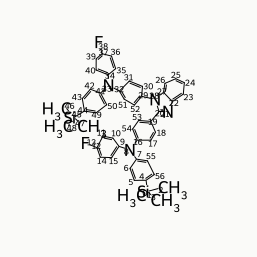 C[Si](C)(C)c1ccc(N(c2ccc(F)cc2)c2ccc(-c3nc4ccccc4n3-c3ccc(N(c4ccc(F)cc4)c4ccc([Si](C)(C)C)cc4)cc3)cc2)cc1